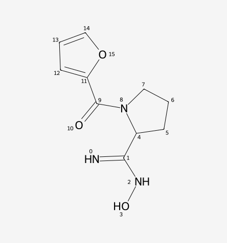 N=C(NO)C1CCCN1C(=O)c1ccco1